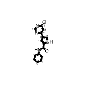 O=C(Nc1ccccc1)c1cc(-c2cc(Cl)ncn2)c[nH]1